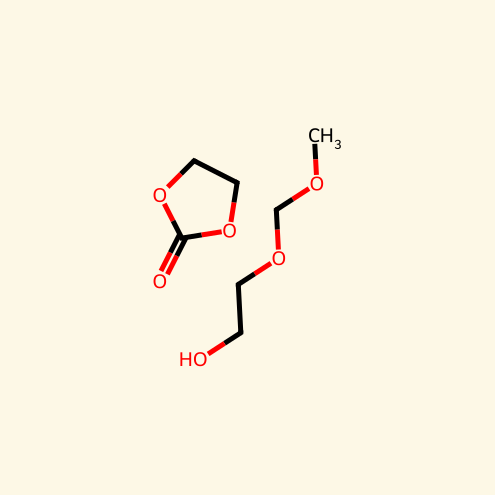 COCOCCO.O=C1OCCO1